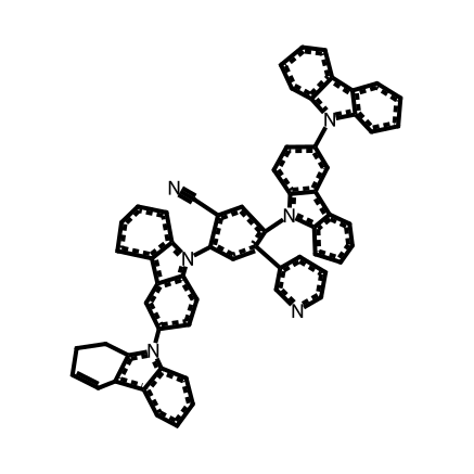 N#Cc1cc(-n2c3ccccc3c3cc(-n4c5ccccc5c5ccccc54)ccc32)c(-c2cccnc2)cc1-n1c2ccccc2c2cc(-n3c4c(c5ccccc53)C=CCC4)ccc21